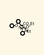 CCOC(=O)c1c(-c2ccccc2Oc2ccccc2)nnn1C(=O)N(CC)c1ccccc1